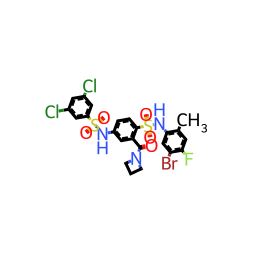 Cc1cc(F)c(Br)cc1NS(=O)(=O)c1ccc(NS(=O)(=O)c2cc(Cl)cc(Cl)c2)cc1C(=O)N1CCC1